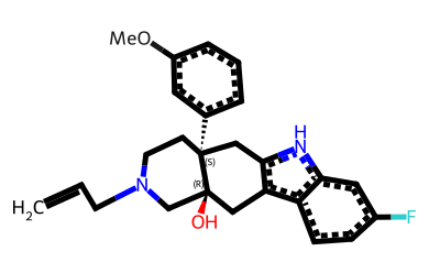 C=CCN1CC[C@@]2(c3cccc(OC)c3)Cc3[nH]c4cc(F)ccc4c3C[C@]2(O)C1